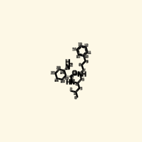 CC(C)CC(CNCCCc1ccccc1)NC(=O)[C@@H]1CCCC[C@@H]1N